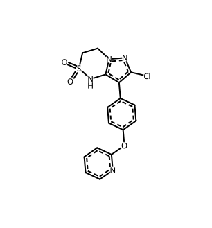 O=S1(=O)CCn2nc(Cl)c(-c3ccc(Oc4ccccn4)cc3)c2N1